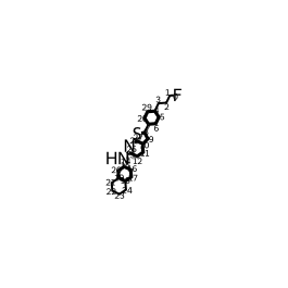 FCCCc1ccc(-c2cc3ccc(Nc4ccc5c(c4)CCCC5)nc3s2)cc1